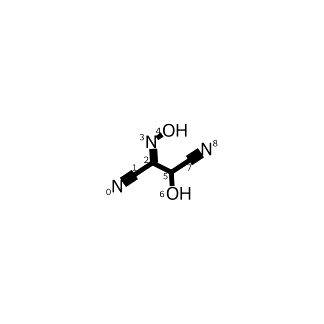 N#CC(=NO)C(O)C#N